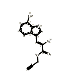 C#CCOC(=O)/C(=C/c1csc2c(C#N)cccc12)C(C)=O